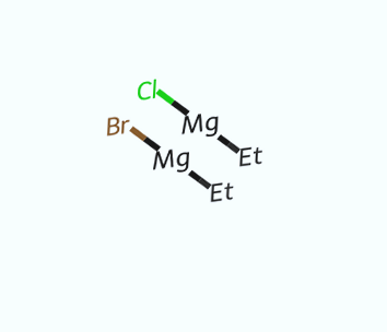 C[CH2][Mg][Br].C[CH2][Mg][Cl]